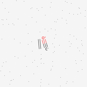 C=C.[C-]#[O+]